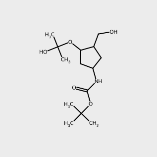 CC(C)(C)OC(=O)NC1CC(CO)C(OC(C)(C)O)C1